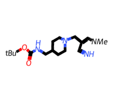 CN/C=C(\C=N)CN1CCC(CNC(=O)OC(C)(C)C)CC1